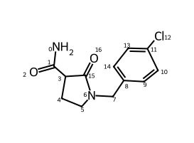 NC(=O)C1CCN(Cc2ccc(Cl)cc2)C1=O